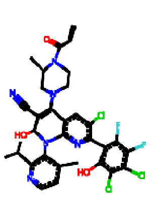 C=CC(=O)N1CCN(C2=C(C#N)C(O)N(c3c(C)ccnc3C(C)C)c3nc(-c4c(O)c(Cl)c(Cl)c(F)c4F)c(Cl)cc32)C[C@H]1C